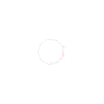 C1=C\ONCCCCC/1